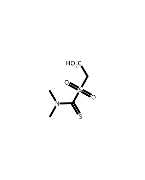 CN(C)C(=S)S(=O)(=O)CC(=O)O